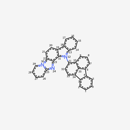 c1ccc2c(c1)-c1cccc3c(-n4c5ccccc5c5ccc6c(nc7ccccn76)c54)ccc-2c13